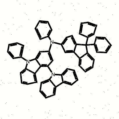 c1ccc(N(c2ccc3c(c2)-c2ccccc2C3(c2ccccc2)c2ccccc2)c2cc(-n3c4ccccc4c4ccccc43)c3c4ccccc4n(-c4ccccc4)c3c2)cc1